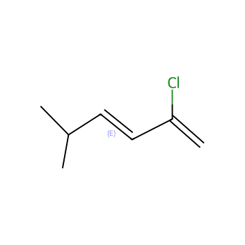 C=C(Cl)/C=C/C(C)C